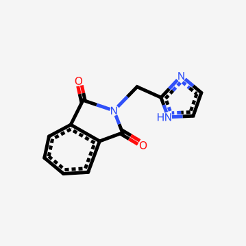 O=C1c2ccccc2C(=O)N1Cc1ncc[nH]1